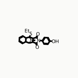 CCSC12C3C=CC=CC3C(C3C(=O)N(c4ccc(O)cc4)C(=O)C31)N2C